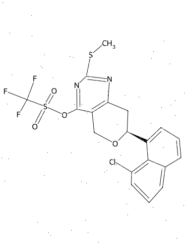 CSc1nc2c(c(OS(=O)(=O)C(F)(F)F)n1)CO[C@H](c1cccc3cccc(Cl)c13)C2